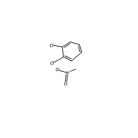 C[N+](=O)[O-].Clc1ccccc1Cl